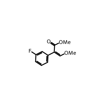 CO/C=C(\C(=O)OC)c1cccc(F)c1